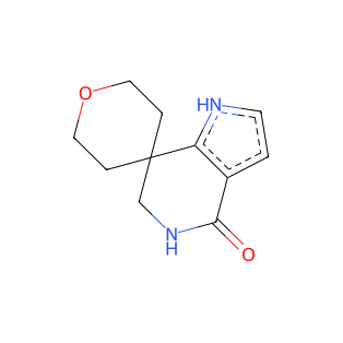 O=C1NCC2(CCOCC2)c2[nH]ccc21